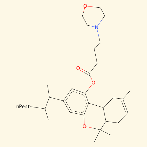 CCCCCC(C)C(C)c1cc(OC(=O)CCCN2CCOCC2)c2c(c1)OC(C)(C)C1CC=C(C)CC21